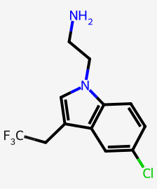 NCCn1cc(CC(F)(F)F)c2cc(Cl)ccc21